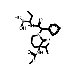 CCC(NC(=O)C(c1ccccc1)N1CCCC(NC(=O)OC)(C(C)C)C1=O)B(O)O